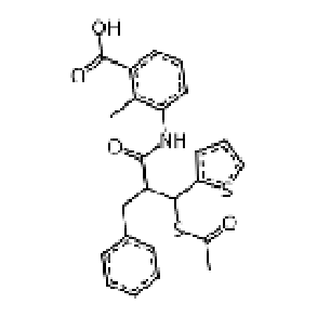 CC(=O)SC(c1cccs1)C(Cc1ccccc1)C(=O)Nc1cccc(C(=O)O)c1C